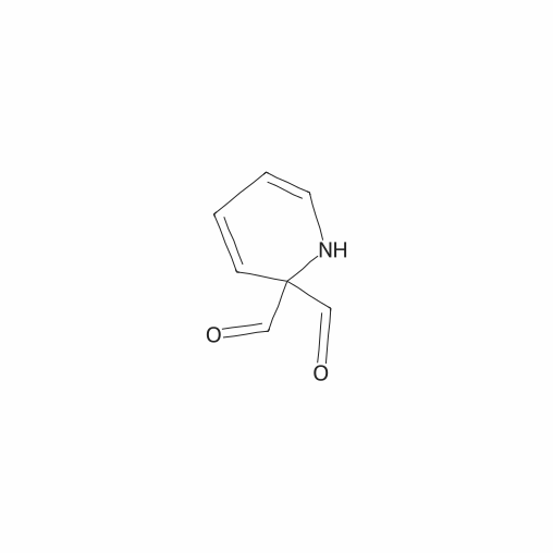 O=CC1(C=O)C=CC=CN1